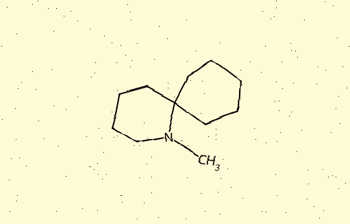 CN1CCCCC12CCCCC2